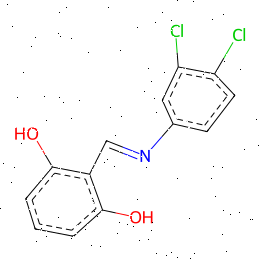 Oc1cccc(O)c1C=Nc1ccc(Cl)c(Cl)c1